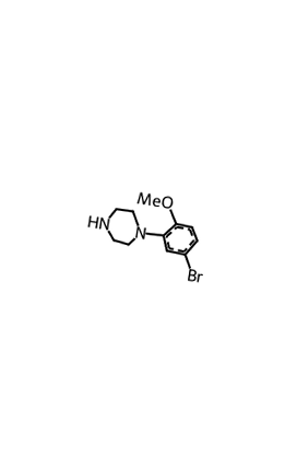 COc1ccc(Br)cc1N1CCNCC1